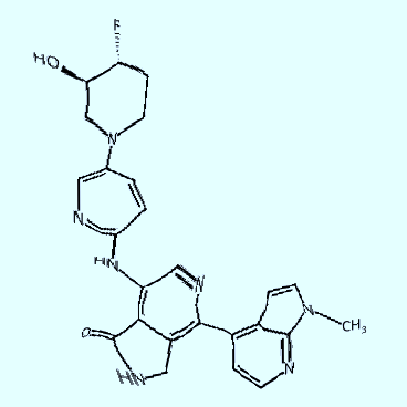 Cn1ccc2c(-c3ncc(Nc4ccc(N5CC[C@@H](F)[C@H](O)C5)cn4)c4c3CNC4=O)ccnc21